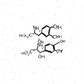 N[C@H](C(=O)O)[C@@H](O)c1ccc(O)c(O)c1.N[C@H](C(=O)O)[C@@H](O)c1ccc(O)c(O)c1